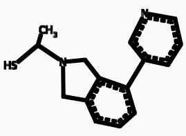 CC(S)N1Cc2cccc(-c3cccnc3)c2C1